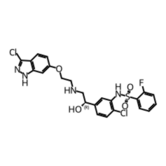 O=S(=O)(Nc1cc([C@@H](O)CNCCOc2ccc3c(Cl)n[nH]c3c2)ccc1Cl)c1ccccc1F